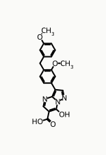 COc1cccc(Cc2ccc(-c3cnn4c(O)c(C(=O)O)cnc34)cc2OC)c1